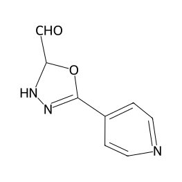 O=CC1NN=C(c2ccncc2)O1